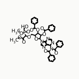 COC(=O)C(OCC1OC(n2cnc3c(N(C(=O)c4ccccc4)C(=O)c4ccccc4)ncnc32)C(OC(=O)c2ccccc2)C1OC(=O)c1ccccc1)P(=O)(CO)OC